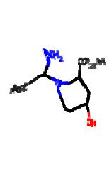 CCCCCC(N)N1CC(O)CC1C(=O)O